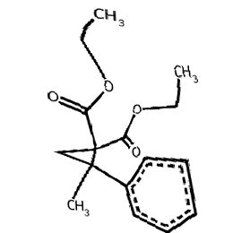 CCOC(=O)C1(C(=O)OCC)CC1(C)c1ccccc1